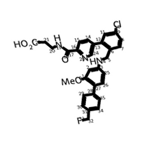 COc1cc(NCc2ccc(Cl)cc2-c2ccc(C(=O)NCCC(=O)O)nc2)ccc1-c1ccc(CF)cc1